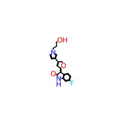 O=C1Nc2cc(F)ccc2C1=C1C=C(c2ccn(CCCO)c2)CO1